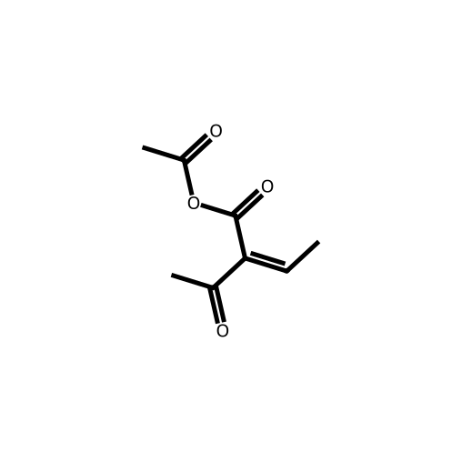 CC=C(C(C)=O)C(=O)OC(C)=O